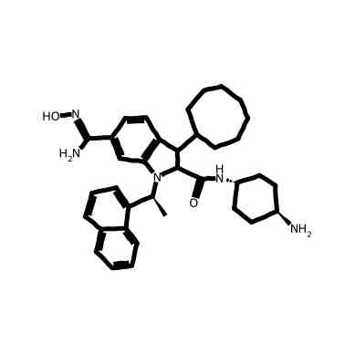 C[C@@H](c1cccc2ccccc12)N1c2cc(/C(N)=N/O)ccc2C(C2CCCCCCC2)C1C(=O)N[C@H]1CC[C@H](N)CC1